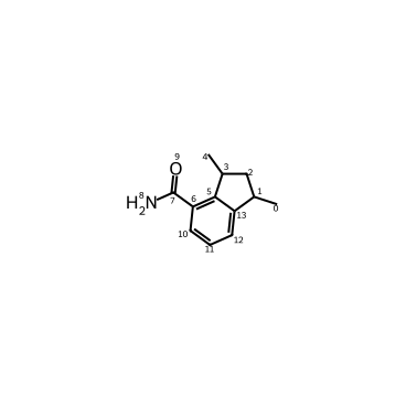 CC1CC(C)c2c(C(N)=O)cccc21